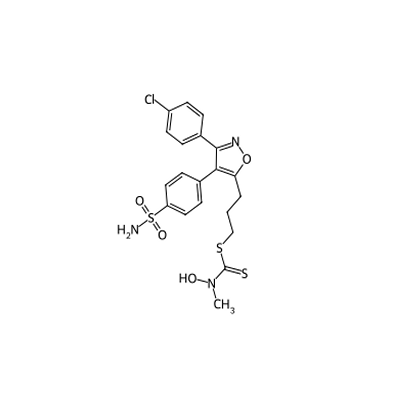 CN(O)C(=S)SCCCc1onc(-c2ccc(Cl)cc2)c1-c1ccc(S(N)(=O)=O)cc1